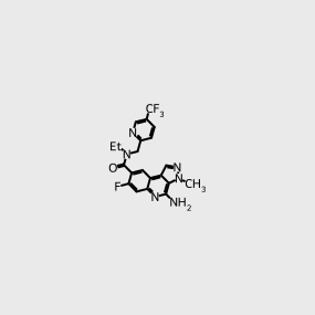 CCN(Cc1ccc(C(F)(F)F)cn1)C(=O)c1cc2c(cc1F)nc(N)c1c2cnn1C